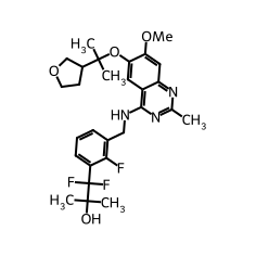 COc1cc2nc(C)nc(NCc3cccc(C(F)(F)C(C)(C)O)c3F)c2cc1OC(C)(C)C1CCOC1